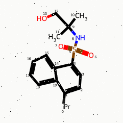 CC(C)c1ccc(S(=O)(=O)NC(C)(C)CO)c2ccccc12